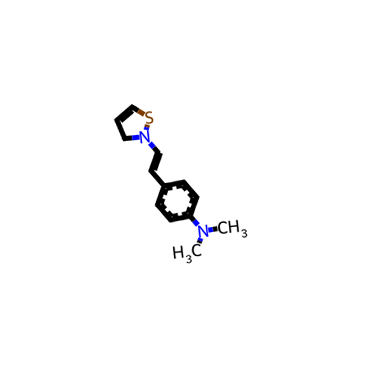 CN(C)c1ccc(C=CN2CC=CS2)cc1